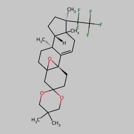 CC1(C)COC2(CC[C@]34OC3(CC[C@]3(C)C4=CCC4(C)[C@H]3CC[C@@]4(C)C(F)(F)C(F)(F)F)C2)OC1